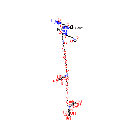 COCc1ccc(NC(=O)[C@H](CCCNC(N)=O)NC(=O)[C@@H](NC(=O)[C@H](CCCCNC(=O)CCOCCOCCOCCOCCOCCOCCN(CCOCCOCCOCCOCCOCCOCCN(C[C@H](O)[C@@H](O)[C@H](O)[C@H](O)CO)C[C@H](O)[C@@H](O)[C@H](O)[C@H](O)CO)C[C@H](O)[C@@H](O)[C@H](O)[C@H](O)CO)NC(=O)CCCCCN2C(=O)C=CC2=O)C(C)C)cc1